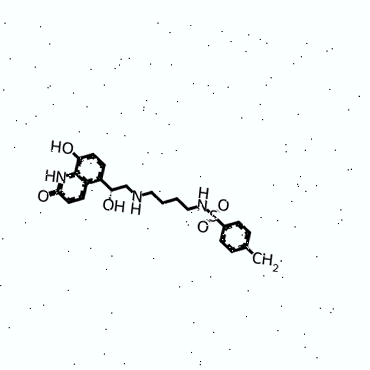 [CH2]c1ccc(S(=O)(=O)NCCCCNC[C@H](O)c2ccc(O)c3[nH]c(=O)ccc23)cc1